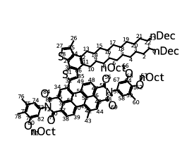 CCCCCCCCCCCCCCCCCCCCc1c(CCCCCCCCCCCCCCCCCCCC)c2c(C)csc2c2sc(-c3cc4c5c(ccc6c7c(C)cc8c9c(ccc(c3c56)c97)C(=O)N(c3cc(C)c(OCCCCCCCC)c(OCCCCCCCC)c3)C8=O)C(=O)N(c3cc(C)c(C)c(OCCCCCCCC)c3)C4=O)cc12